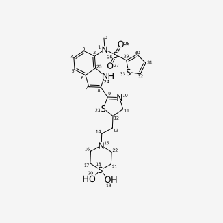 CN(c1cccc2cc(C3=NCC(CCN4CCS(O)(O)CC4)S3)[nH]c12)S(=O)(=O)c1cccs1